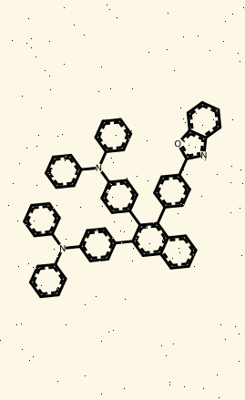 c1ccc(N(c2ccccc2)c2ccc(-c3cc4ccccc4c(-c4ccc(-c5nc6ccccc6o5)cc4)c3-c3ccc(N(c4ccccc4)c4ccccc4)cc3)cc2)cc1